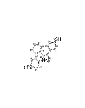 Sc1ccc(-c2cnn(-c3ccc(Cl)cc3)c2-c2ccccc2)cc1